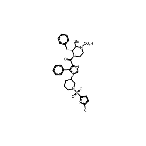 CC(C)(C)C1[C@@H](Cc2ccccc2)N(C(=O)c2ncn(C3CCCN(S(=O)(=O)c4ccc(Cl)s4)C3)c2-c2ccccc2)CCN1C(=O)O